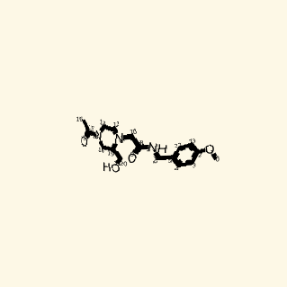 COc1ccc(CNC(=O)CN2CCN(C(C)=O)CC2CO)cc1